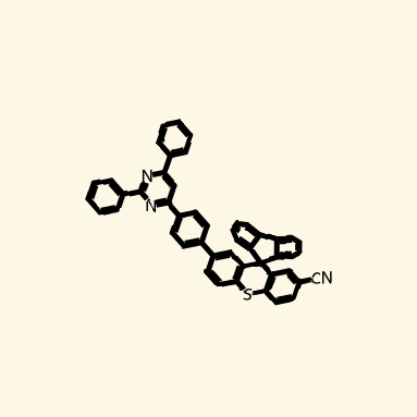 N#Cc1ccc2c(c1)C1(c3cc(-c4ccc(-c5cc(-c6ccccc6)nc(-c6ccccc6)n5)cc4)ccc3S2)c2ccccc2-c2ccccc21